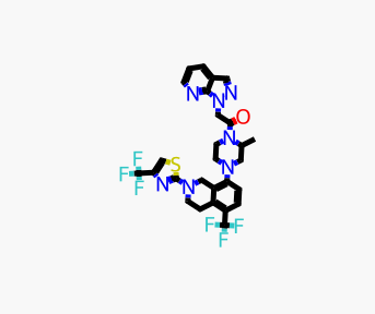 CC1CN(c2ccc(C(F)(F)F)c3c2CN(c2nc(C(F)(F)F)cs2)CC3)CCN1C(=O)Cn1ncc2cccnc21